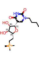 C=P(C)(C)CC[C@H]1O[C@@H](c2cn(CCCC)c(=O)[nH]c2=O)[C@H](O)[C@@H]1O